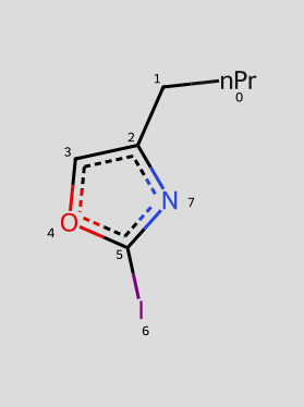 [CH2]CCCc1coc(I)n1